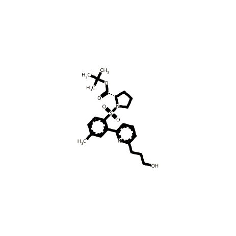 Cc1ccc(S(=O)(=O)N2CCC[C@H]2C(=O)OC(C)(C)C)c(-c2cccc(CCCO)n2)c1